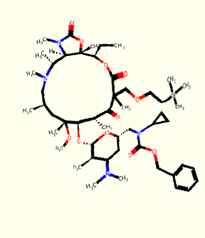 CC[C@H]1OC(=O)C(C)(COCC[Si](C)(C)C)C(=O)[C@H](C)[C@@H](O[C@@H]2O[C@H](CN(C(=O)OCc3ccccc3)C3CC3)CC(N(C)C)[C@H]2C)[C@](C)(OC)C[C@@H](C)CN(C)[C@H](C)[C@H]2N(C)C(=O)O[C@]12C